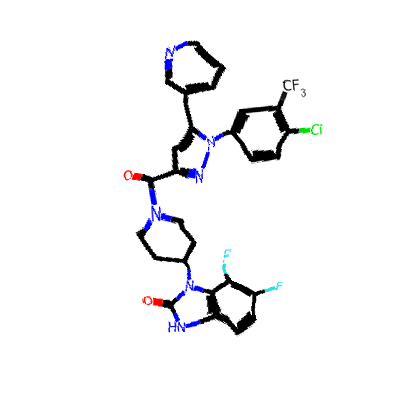 O=C(c1cc(-c2cccnc2)n(-c2ccc(Cl)c(C(F)(F)F)c2)n1)N1CCC(n2c(=O)[nH]c3ccc(F)c(F)c32)CC1